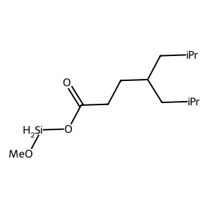 CO[SiH2]OC(=O)CCC(CC(C)C)CC(C)C